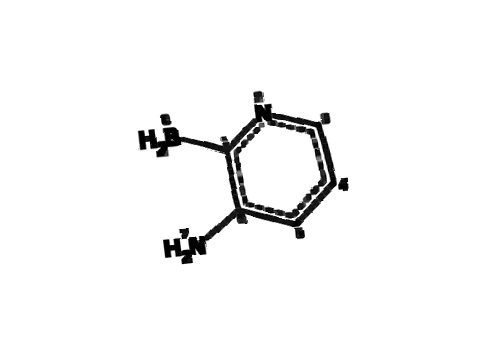 Bc1ncccc1N